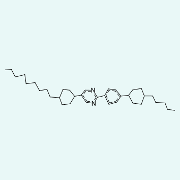 CCCCCCCCCC1CCC(c2cnc(-c3ccc(C4CCC(CCCCC)CC4)cc3)nc2)CC1